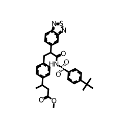 COC(=O)CC(C)c1ccc(CC(C(=O)NS(=O)(=O)c2ccc(C(C)(C)C)cc2)c2ccc3nsnc3c2)cc1